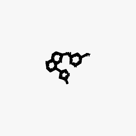 CC(C)c1cnnc(Nc2ccc3nccc(-c4cnn(C)c4)c3n2)c1